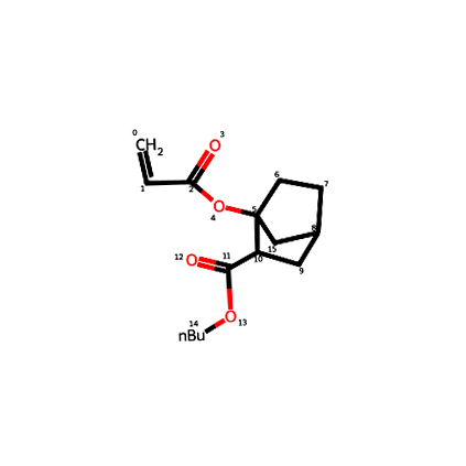 C=CC(=O)OC12CCC(CC1C(=O)OCCCC)C2